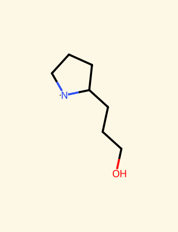 OCCCC1CCC[N]1